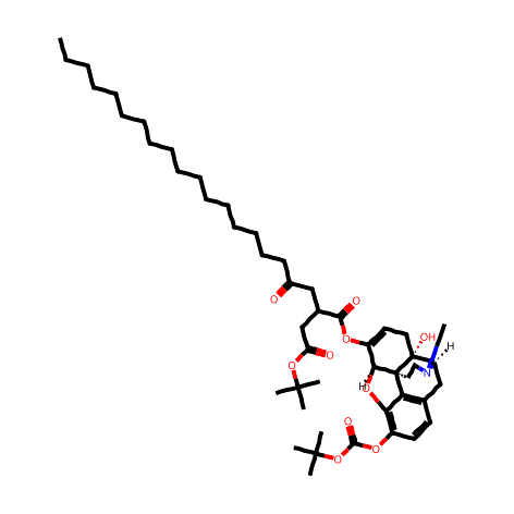 CCCCCCCCCCCCCCCCCC(=O)CC(CC(=O)OC(C)(C)C)C(=O)OC1=CC[C@@]2(O)[C@H]3Cc4ccc(OC(=O)OC(C)(C)C)c5c4[C@@]2(CCN3C)[C@H]1O5